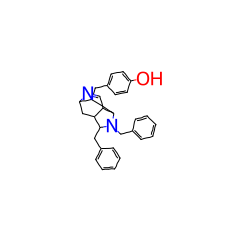 Oc1ccc(CC2C3CC4C(C=N3)C2N(Cc2ccccc2)C4Cc2ccccc2)cc1